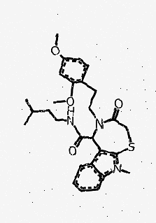 COc1ccc(CCN2C(=O)CSc3c(c4ccccc4n3C)C2C(=O)NCCC(C)C)c(OC)c1